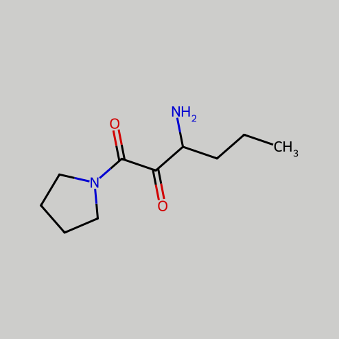 CCCC(N)C(=O)C(=O)N1CCCC1